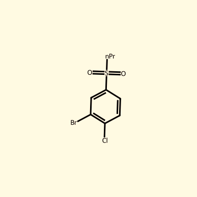 CCCS(=O)(=O)c1ccc(Cl)c(Br)c1